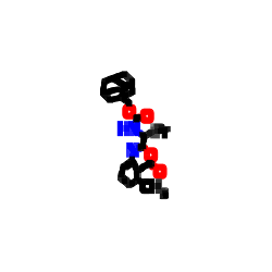 Cc1cccc2nc([C@@H](NC(=O)OCC34CC5CC(CC(C5)C3)C4)C(C)C)oc(=O)c12